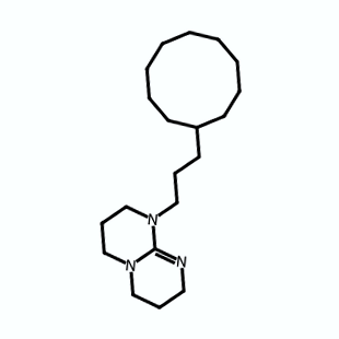 C1CCCCC(CCCN2CCCN3CCCN=C32)CCCC1